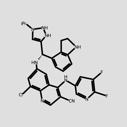 CC(C)N1C=C([C@@H](Nc2cc(Cl)c3ncc(C#N)c(Nc4cnc(F)c(F)c4)c3c2)c2cccc3c2CCN3)NN1